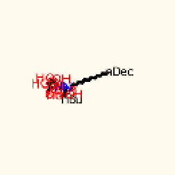 CCCCCCCCCCCCCCCCCCCCCCC(=O)N[C@@H](COC1OC(CO)C(O)C(O)C1O)[C@H](O)C(O)CCCC